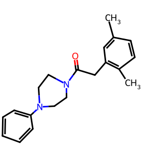 Cc1ccc(C)c(CC(=O)N2CCN(c3ccccc3)CC2)c1